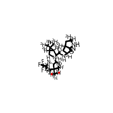 [2H]C1([2H])C[C@@]([2H])(C[C@@]([2H])(C#N)NC(=O)[C@]2([2H])[C@@H]3[C@H](CN2C(=O)[C@@H](NC(=O)C(F)(F)F)C(C([2H])([2H])[2H])(C([2H])([2H])[2H])C([2H])([2H])[2H])C3(C([2H])([2H])[2H])C([2H])([2H])[2H])C(=O)N1